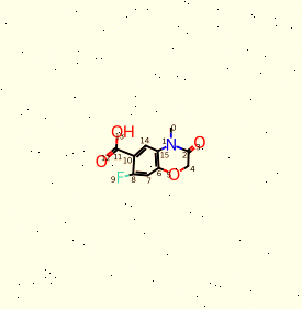 CN1C(=O)COc2cc(F)c(C(=O)O)cc21